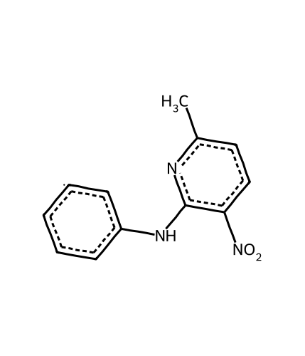 Cc1ccc([N+](=O)[O-])c(Nc2c[c]ccc2)n1